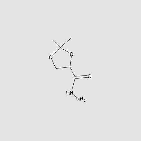 CC1(C)OCC(C(=O)NN)O1